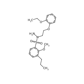 CCCc1cccc(S(=O)(=O)N(N)CCOc2ccccc2OCC)c1OC